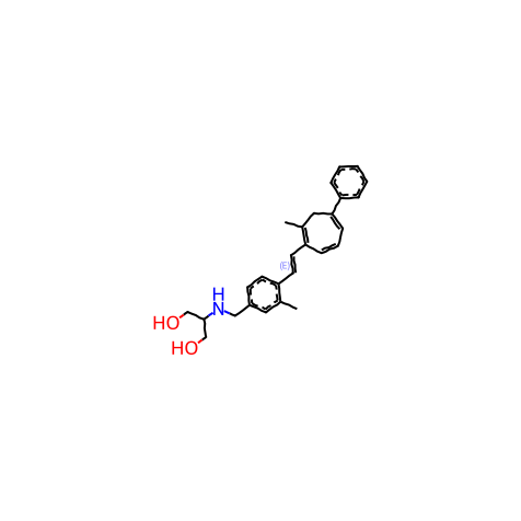 CC1=C(/C=C/c2ccc(CNC(CO)CO)cc2C)C=CC=C(c2ccccc2)C1